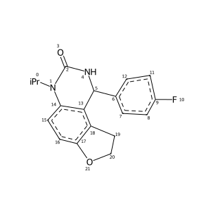 CC(C)N1C(=O)NC(c2ccc(F)cc2)c2c1ccc1c2CCO1